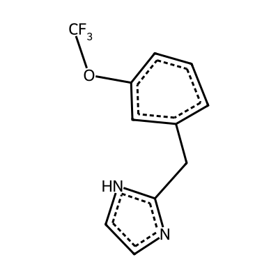 FC(F)(F)Oc1cccc(Cc2ncc[nH]2)c1